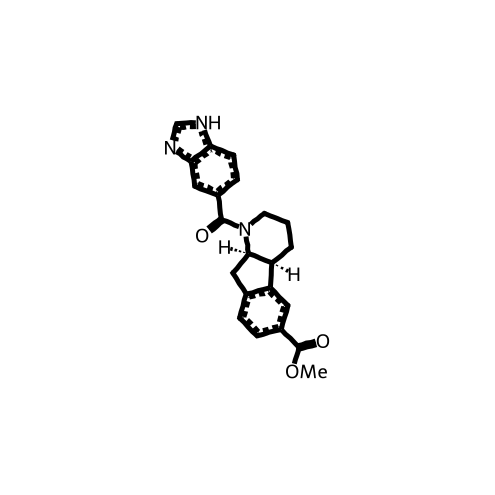 COC(=O)c1ccc2c(c1)[C@@H]1CCCN(C(=O)c3ccc4[nH]cnc4c3)[C@@H]1C2